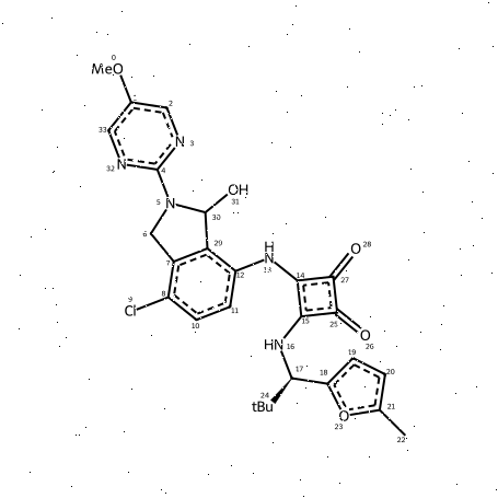 COc1cnc(N2Cc3c(Cl)ccc(Nc4c(N[C@@H](c5ccc(C)o5)C(C)(C)C)c(=O)c4=O)c3C2O)nc1